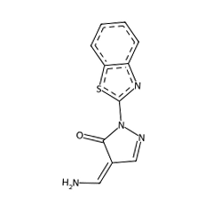 NC=C1C=NN(c2nc3ccccc3s2)C1=O